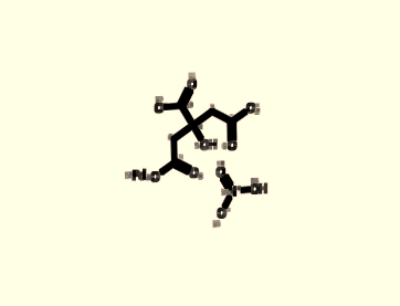 O=C([O-])CC(O)(CC(=O)[O-])C(=O)[O-].O=[N+]([O-])O.[Pd]